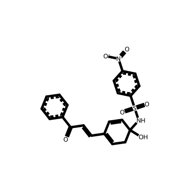 O=C(C=CC1=CCC(O)(NS(=O)(=O)c2ccc([N+](=O)[O-])cc2)C=C1)c1ccccc1